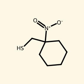 O=[N+]([O-])C1(CS)CCCCC1